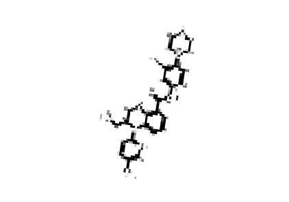 Cc1ccc(N2c3cccc(C(=O)Nc4ccc(N5CCOCC5)c(F)c4)c3OCC2CO)nc1